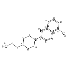 OCCC1CCN(c2ccc3c(Cl)cccc3n2)CC1